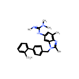 CCCc1nc2c(C)cc(N/C(=N\C#N)N(C)C)cc2n1Cc1ccc(-c2ccccc2C(=O)O)cc1